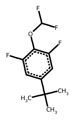 CC(C)(C)c1cc(F)c(OC(F)F)c(F)c1